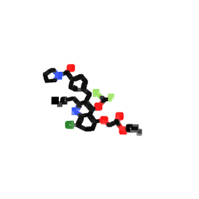 CCc1nc2c(Cl)ccc(OCC(=O)OC)c2c(OC(F)F)c1Cc1ccc(C(=O)N2CCCC2)cc1